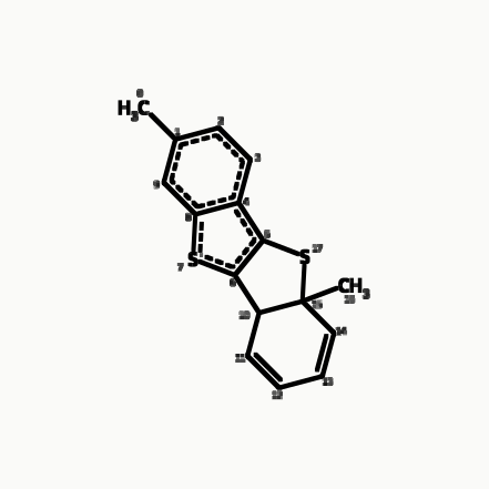 Cc1ccc2c3c(sc2c1)C1C=CC=CC1(C)S3